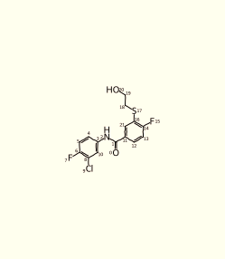 O=C(Nc1ccc(F)c(Cl)c1)c1ccc(F)c(SCCO)c1